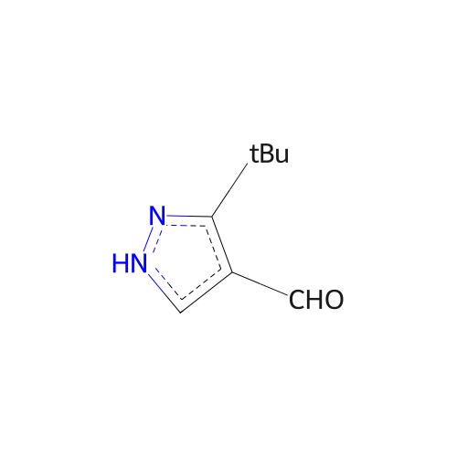 CC(C)(C)c1n[nH]cc1C=O